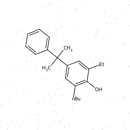 CCCCc1cc(C(C)(C)c2ccccc2)cc(CC)c1O